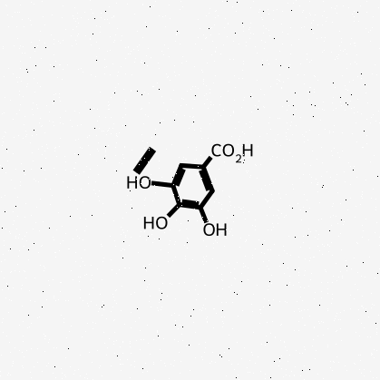 C=C.O=C(O)c1cc(O)c(O)c(O)c1